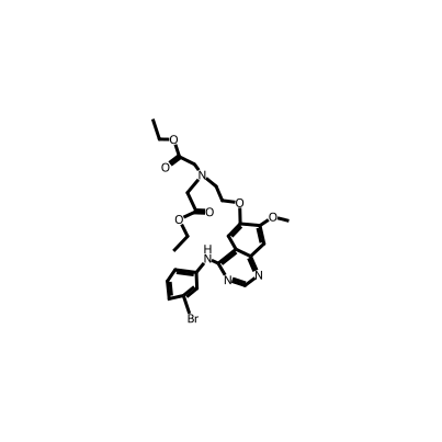 CCOC(=O)CN(CCOc1cc2c(Nc3cccc(Br)c3)ncnc2cc1OC)CC(=O)OCC